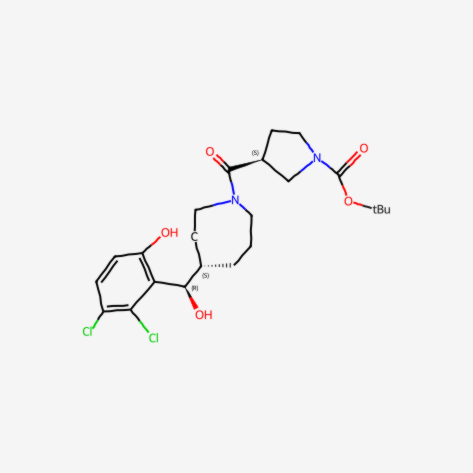 CC(C)(C)OC(=O)N1CC[C@H](C(=O)N2CCC[C@H]([C@@H](O)c3c(O)ccc(Cl)c3Cl)CC2)C1